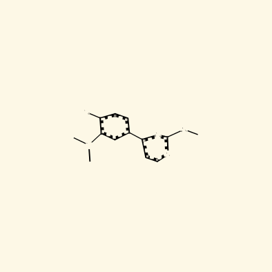 CNc1nccc(-c2ccc(N)c(P(C)C)c2)n1